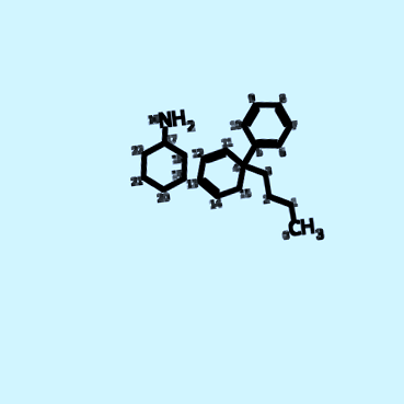 CCCCC1(c2ccccc2)C=CC=CC1.NC1CCCCC1